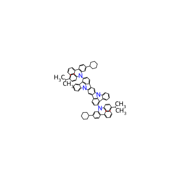 CC(C)c1ccc(N(c2cc(C3CCCCC3)ccc2-c2ccccc2)c2ccc3c4cc5c(cc4n4c6ccccc6c2c34)c2ccc(N(c3ccc(C(C)C)cc3)c3cc(C4CCCCC4)ccc3-c3ccccc3)c3c4ccccc4n5c23)cc1